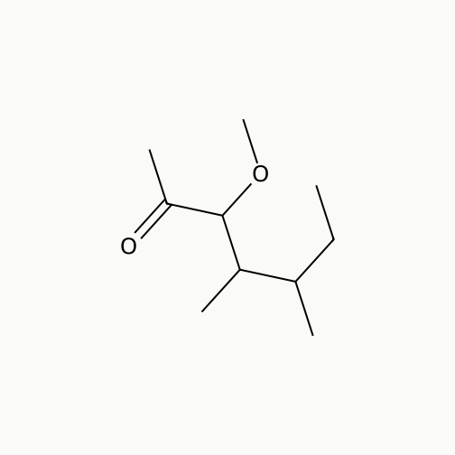 CCC(C)C(C)C(OC)C(C)=O